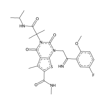 CNC(=O)c1sc2c(c1C)c(=O)n(C(C)(C)C(=O)NC(C)C)c(=O)n2CC(=N)c1cc(F)ccc1OC